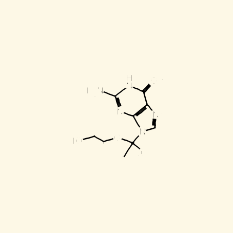 CC(Cl)(OCCO)n1cnc2c(=O)[nH]c(N)nc21